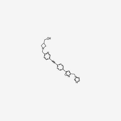 OCC1CN(Cc2ccc(C#Cc3ccc(-c4cc(Cn5ccnc5)no4)cc3)cn2)C1